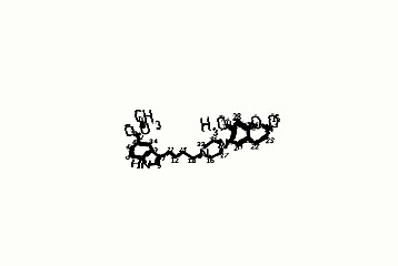 COC(=O)c1ccc2[nH]cc(CCCCN3CCN(c4cc5ccc(=O)oc5cc4C)CC3)c2c1